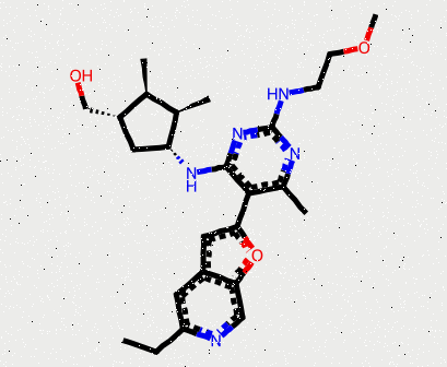 CCc1cc2cc(-c3c(C)nc(NCCOC)nc3N[C@@H]3C[C@H](CO)[C@@H](C)[C@H]3C)oc2cn1